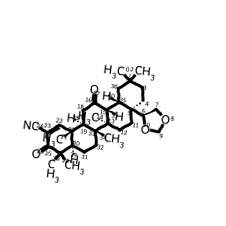 CC1(C)CC[C@]2([C@H]3COCO3)CC[C@]3(C)[C@H](C(=O)C[C@@H]4[C@@]5(C)C=C(C#N)C(=O)C(C)(C)[C@@H]5CC[C@]43C)[C@@H]2C1